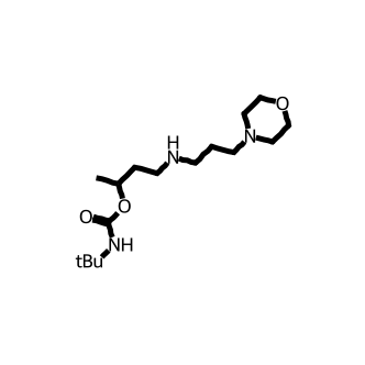 CC(CCNCCCN1CCOCC1)OC(=O)NC(C)(C)C